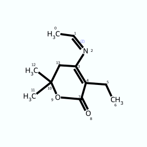 C/C=N\C1=C(CC)C(=O)OC(C)(C)C1